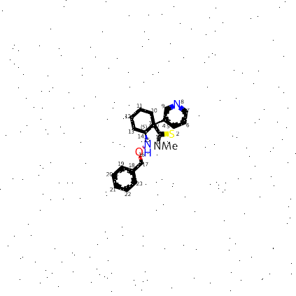 CNC(=S)[C@@]1(c2cccnc2)CCCC[C@@H]1NOCc1ccccc1